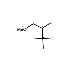 COCC(C)C(C)(C)C